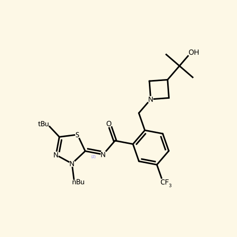 CCCCn1nc(C(C)(C)C)s/c1=N\C(=O)c1cc(C(F)(F)F)ccc1CN1CC(C(C)(C)O)C1